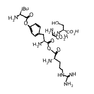 CC[C@H](C)[C@H](N)C(=O)Oc1ccc(C[C@H](N)C(=O)OC(=O)[C@@H](N)CCCNC(=N)N)cc1.NCC(=O)O.N[C@@H](CO)C(=O)O